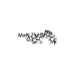 CNC(=O)c1ccnc2c(C(C)CCNc3cc(-c4ccc(F)cc4)ncn3)cccc12